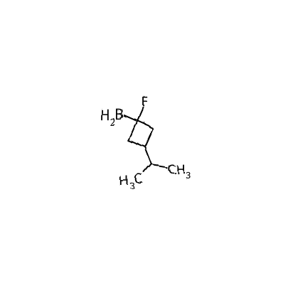 BC1(F)CC(C(C)C)C1